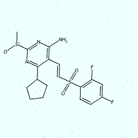 C[S+]([O-])c1nc(N)c(C=CS(=O)(=O)c2ccc(F)cc2F)c(C2CCCC2)n1